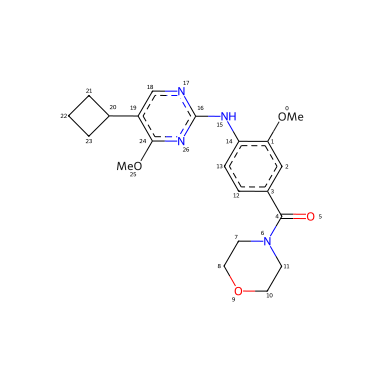 COc1cc(C(=O)N2CCOCC2)ccc1Nc1ncc(C2CCC2)c(OC)n1